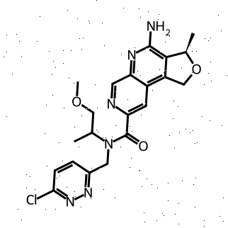 COCC(C)N(Cc1ccc(Cl)nn1)C(=O)c1cc2c3c(c(N)nc2cn1)[C@@H](C)OC3